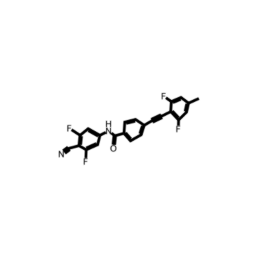 Cc1cc(F)c(C#Cc2ccc(C(=O)Nc3cc(F)c(C#N)c(F)c3)cc2)c(F)c1